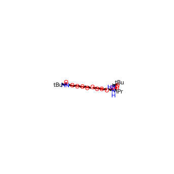 CC(C)[C@H](NC(=O)CCOCCOCCOCCOCCOCCOCCOCCOCCNC(=O)CCC(C)(C)C)C(=O)N[C@@H](C)C(=O)C(C)(C)C